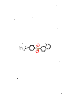 Cc1ccc(S(=O)(=O)c2ccc3ccccc3c2)cc1